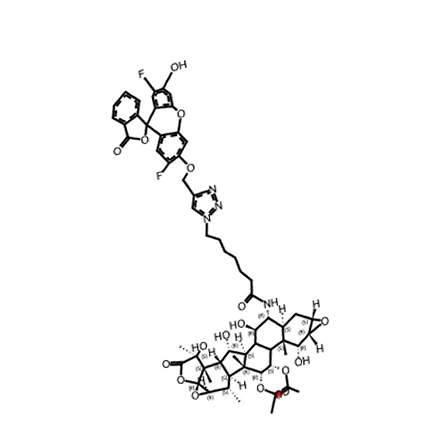 CC(=O)O[C@H]1C2C([C@@H](O)[C@H](NC(=O)CCCCCCn3cc(COc4cc5c(cc4F)C4(OC(=O)c6ccccc64)c4cc(F)c(O)cc4O5)nn3)[C@H]3C[C@@H]4O[C@@H]4[C@H](O)[C@]23C)[C@@H]2[C@@H](O)[C@@H]3[C@H]([C@H](C)[C@H]4O[C@]45OC(=O)[C@@](C)(O)[C@]35C)[C@@]2(C)[C@H]1OC(C)=O